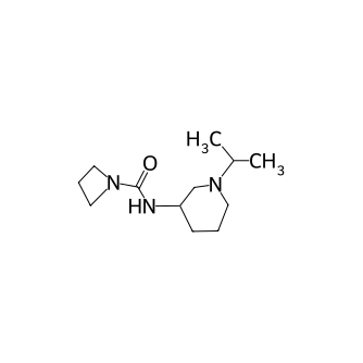 CC(C)N1CCCC(NC(=O)N2CCC2)C1